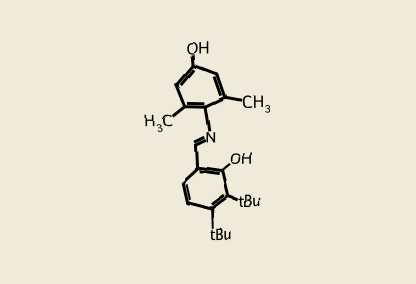 Cc1cc(O)cc(C)c1N=Cc1ccc(C(C)(C)C)c(C(C)(C)C)c1O